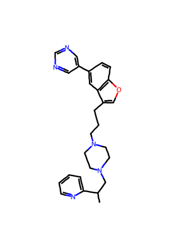 CC(CN1CCN(CCCc2coc3ccc(-c4cncnc4)cc23)CC1)c1ccccn1